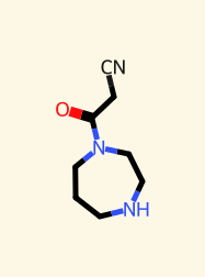 N#CCC(=O)N1CCCNCC1